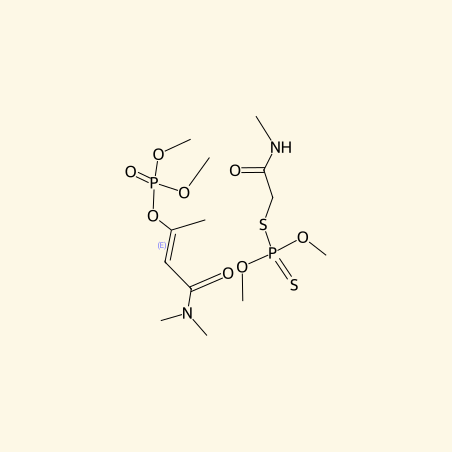 CNC(=O)CSP(=S)(OC)OC.COP(=O)(OC)O/C(C)=C/C(=O)N(C)C